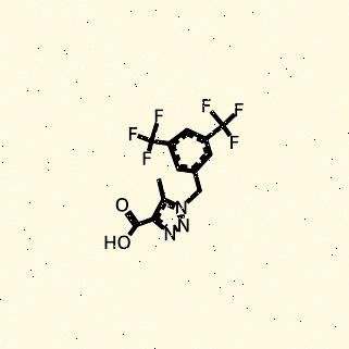 Cc1c(C(=O)O)nnn1Cc1cc(C(F)(F)F)cc(C(F)(F)F)c1